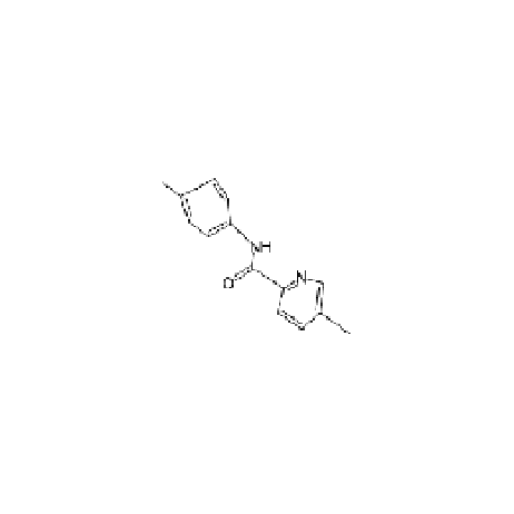 Cc1ccc(NC(=O)c2ccc(C)cn2)cc1